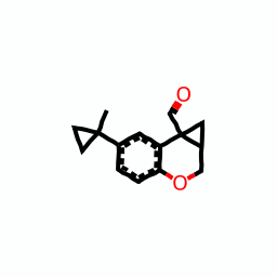 CC1(c2ccc3c(c2)C2(C=O)CC2CO3)CC1